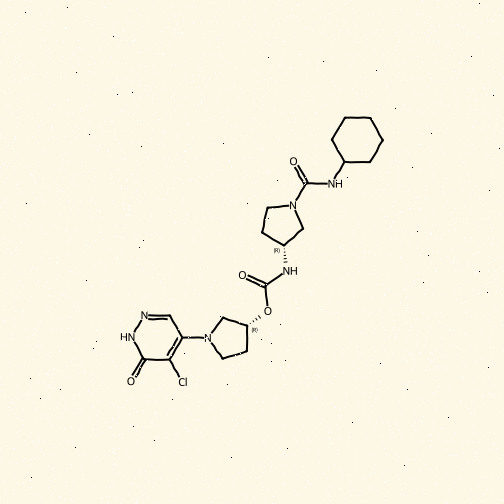 O=C(N[C@@H]1CCN(C(=O)NC2CCCCC2)C1)O[C@@H]1CCN(c2cn[nH]c(=O)c2Cl)C1